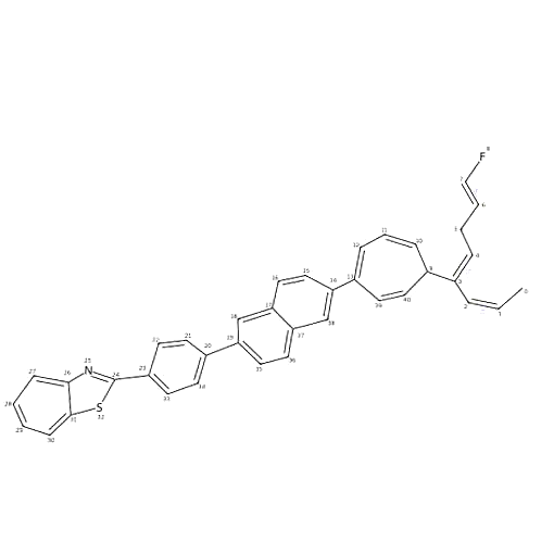 C/C=C\C(=C\C/C=C/F)C1C=CC=C(c2ccc3cc(-c4ccc(-c5nc6ccccc6s5)cc4)ccc3c2)C=C1